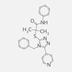 CC(C)(Sc1nnc(-c2ccncc2)n1Cc1ccccc1)C(=O)Nc1ccccc1